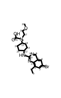 CCc1cc(Br)cc2cnc(NC3CCC(N(CCOC)C(=O)O)CC3)nc12